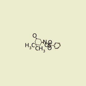 CC1(C)CC(=O)CC(=NOS(=O)(=O)c2ccccc2)C1